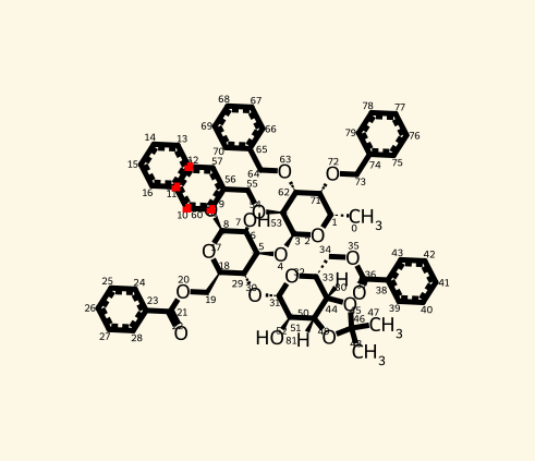 C[C@@H]1O[C@@H](O[C@@H]2[C@@H](O)[C@H](OCc3ccccc3)O[C@H](COC(=O)c3ccccc3)[C@H]2O[C@@H]2O[C@H](COC(=O)c3ccccc3)[C@@H]3OC(C)(C)O[C@@H]3[C@H]2O)[C@@H](OCc2ccccc2)[C@H](OCc2ccccc2)[C@@H]1OCc1ccccc1